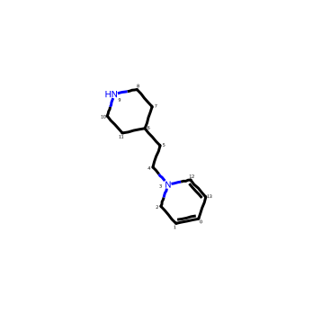 C1=CCN(CCC2CCNCC2)C=C1